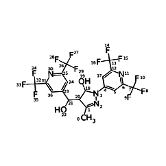 CC1=NN(c2cc(C(F)(F)F)nc(C(F)(F)F)c2)C(O)C1C(O)c1cc(C(F)(F)F)nc(C(F)(F)F)c1